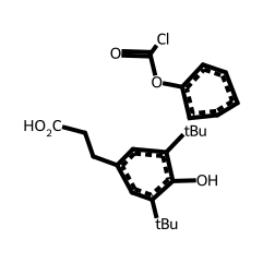 CC(C)(C)c1cc(CCC(=O)O)cc(C(C)(C)C)c1O.O=C(Cl)Oc1ccccc1